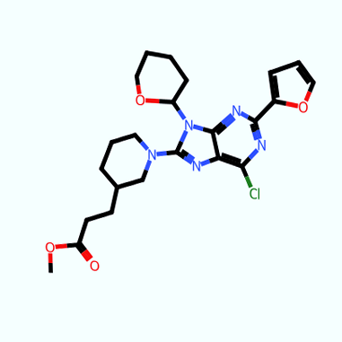 COC(=O)CCC1CCCN(c2nc3c(Cl)nc(-c4ccco4)nc3n2C2CCCCO2)C1